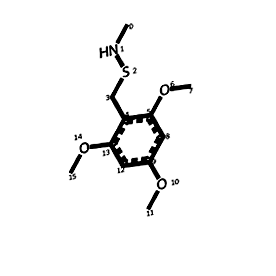 CNSCc1c(OC)cc(OC)cc1OC